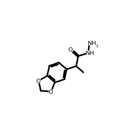 CC(C(=O)NN)c1ccc2c(c1)OCO2